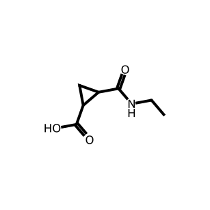 CCNC(=O)C1CC1C(=O)O